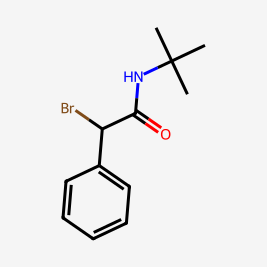 CC(C)(C)NC(=O)C(Br)c1ccccc1